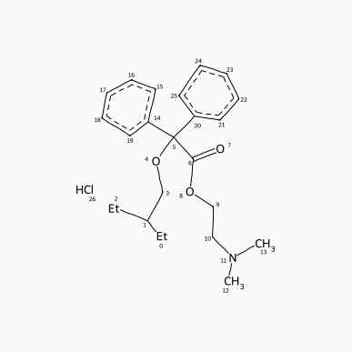 CCC(CC)COC(C(=O)OCCN(C)C)(c1ccccc1)c1ccccc1.Cl